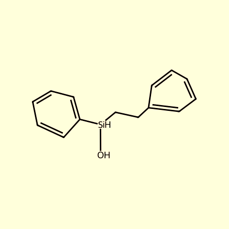 O[SiH](CCc1ccccc1)c1ccccc1